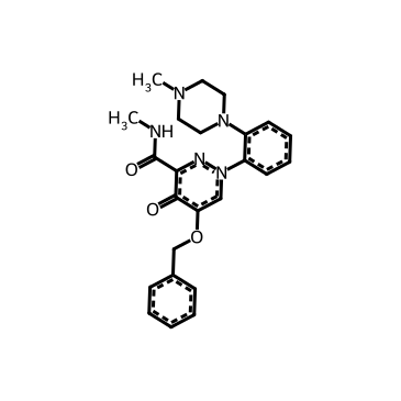 CNC(=O)c1nn(-c2ccccc2N2CCN(C)CC2)cc(OCc2ccccc2)c1=O